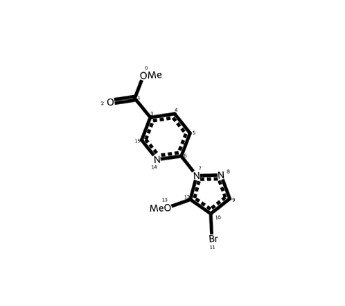 COC(=O)c1ccc(-n2ncc(Br)c2OC)nc1